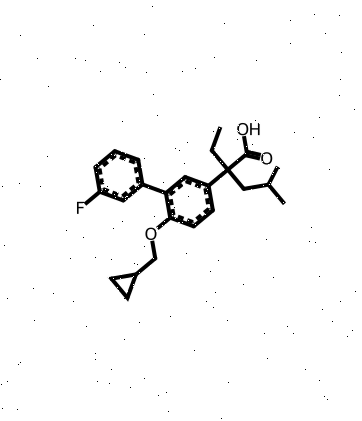 CCC(CC(C)C)(C(=O)O)c1ccc(OCC2CC2)c(-c2cccc(F)c2)c1